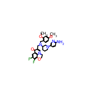 COc1ccc(CN(Cc2cn3c4c(c(F)c(F)cc4c2=O)OCC3)C2CCCN(c3ccc(N)nc3)C2)c(OC)c1